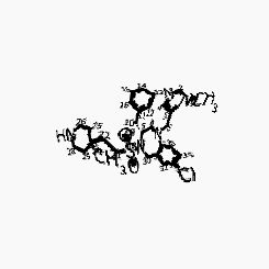 Cn1cncc1CN1C[C@@H](Cc2ccccc2)N(S(=O)(=O)CCC2(C)CCNCC2)Cc2cc(Cl)ccc21